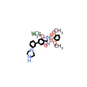 COc1cccc(OC)c1S(=O)(=O)Nc1noc2cc(-c3cccc(N4CCCNCC4)c3)cc(OC)c12.Cl